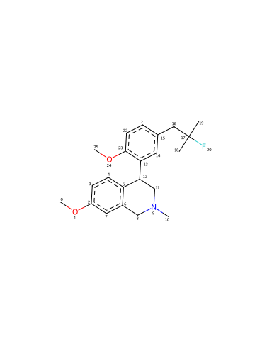 COc1ccc2c(c1)CN(C)CC2c1cc(CC(C)(C)F)ccc1OC